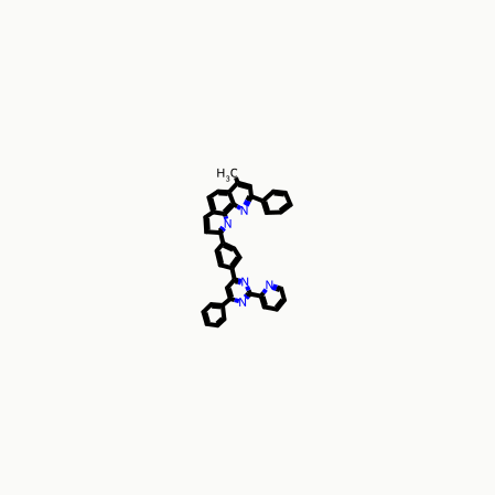 Cc1cc(-c2ccccc2)nc2c1ccc1ccc(-c3ccc(-c4cc(-c5ccccc5)nc(-c5ccccn5)n4)cc3)nc12